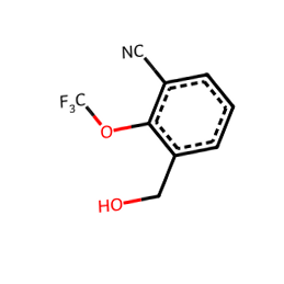 N#Cc1cccc(CO)c1OC(F)(F)F